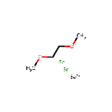 COCCOC.[Ba+2].[Br-].[Br-]